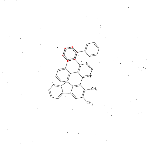 Cc1cc2c(c(-c3nnnc(-c4ccccc4-c4ccccc4)c3-c3ccccc3-c3ccccc3)c1C)Cc1ccccc1-2